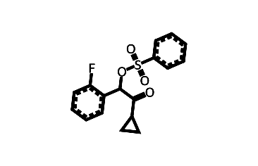 O=C(C1CC1)C(OS(=O)(=O)c1ccccc1)c1ccccc1F